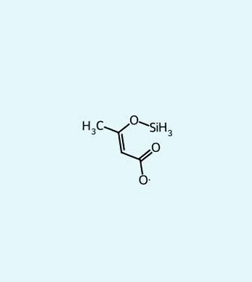 CC(=CC([O])=O)O[SiH3]